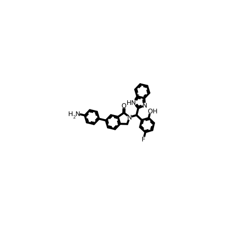 Nc1ccc(-c2ccc3c(c2)C(=O)N(C(c2nc4ccccc4[nH]2)c2cc(F)ccc2O)C3)cc1